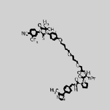 CCC[C@H](NC(=O)COCCCOCCCCOc1ccc(N2C(=S)N(c3ccc(C#N)c(C(F)(F)F)c3)C(=O)C2(C)C)cc1)C(=O)N1CCC[C@H]1C(=O)NCc1ccc(-c2scnc2C)cc1